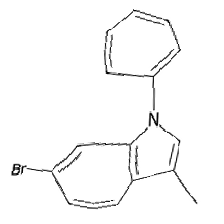 Cc1cn(-c2ccccc2)c2cc(Br)ccc12